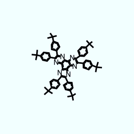 CC(C)(C)c1ccc(-c2nc3c4nc(-c5ccc(C(C)(C)C)cc5)c(-c5ccc(C(C)(C)C)cc5)nc4c4nc(-c5ccc(C(C)(C)C)cc5)c(-c5ccc(C(C)(C)C)cc5)nc4c3nc2-c2ccc(C(C)(C)C)cc2)cc1